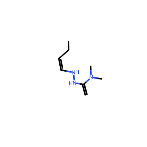 C=C(NN/C=C\CC)N(C)C